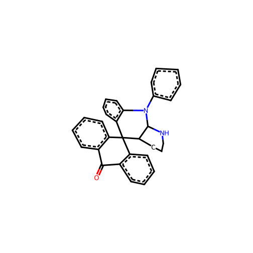 O=C1c2ccccc2C2(c3ccccc31)c1ccccc1N(c1ccccc1)C1NCCCC12